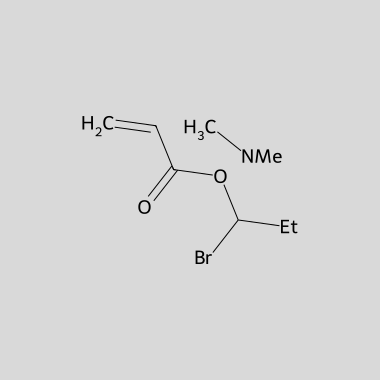 C=CC(=O)OC(Br)CC.CNC